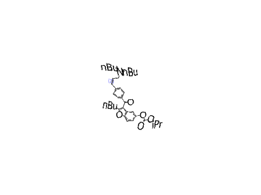 CCCCc1oc2ccc(OC(=O)OC(C)C)cc2c1C(=O)c1ccc(/C=C\CN(CCCC)CCCC)cc1